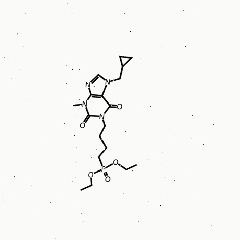 CCOP(=O)(CCCCn1c(=O)c2c(ncn2CC2CC2)n(C)c1=O)OCC